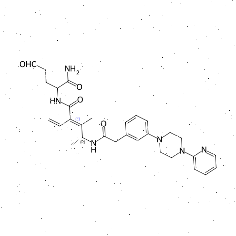 C=C/C(C(=O)NC(CCC=O)C(N)=O)=C(/C)[C@@H](C)NC(=O)Cc1cccc(N2CCN(c3ccccn3)CC2)c1